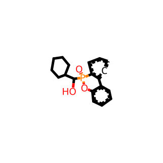 O=P1(C(O)C2CCCCC2)Oc2ccccc2-c2ccccc21